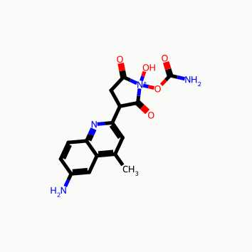 Cc1cc(C2CC(=O)[N+](O)(OC(N)=O)C2=O)nc2ccc(N)cc12